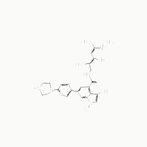 CCC(C)n1cc(C)c2c(C(=O)NC/C(C)=C(C)/C=C(/C)NC=O)cc(-c3ccc(N4CCNCC4)nc3)cc21